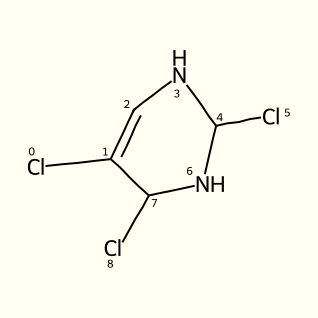 ClC1=CNC(Cl)NC1Cl